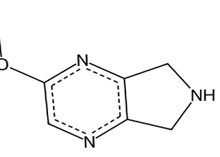 COc1cnc2c(n1)CNC2